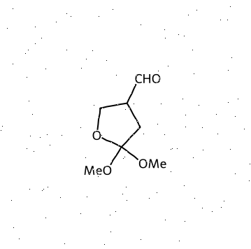 COC1(OC)CC(C=O)CO1